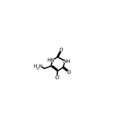 NCc1[nH]c(=O)[nH]c(=O)c1Cl